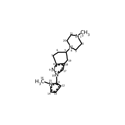 CN1CCN(C2CCc3nn(-c4cccn4C)cc3C2)CC1